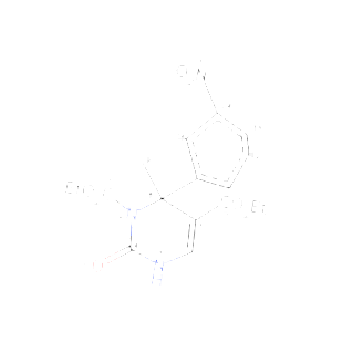 CCOC(=O)C1=CNC(=O)N(C(=O)OCC)C1(C)c1cccc([N+](=O)[O-])c1